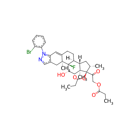 CCC(=O)OCC(=O)[C@@]1(OC(=O)CC)[C@@H](C)C[C@H]2[C@@H]3CCC4=Cc5c(cnn5-c5ccccc5Br)C[C@]4(C)[C@@]3(F)[C@@H](O)C[C@@]21C